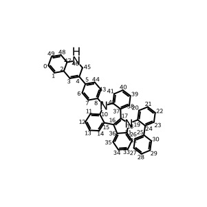 C1=CC2C=C(c3ccc(N4c5ccccc5-c5c(n(-c6ccccc6-c6ccccc6)c6ccccc56)-c5ccccc54)cc3)CNC2C=C1